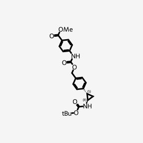 COC(=O)c1ccc(NC(=O)OCc2ccc([C@@H]3C[C@H]3NC(=O)OC(C)(C)C)cc2)cc1